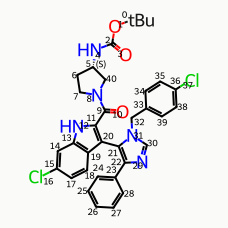 CC(C)(C)OC(=O)N[C@H]1CCN(C(=O)c2[nH]c3cc(Cl)ccc3c2-c2c(-c3ccccc3)ncn2Cc2ccc(Cl)cc2)C1